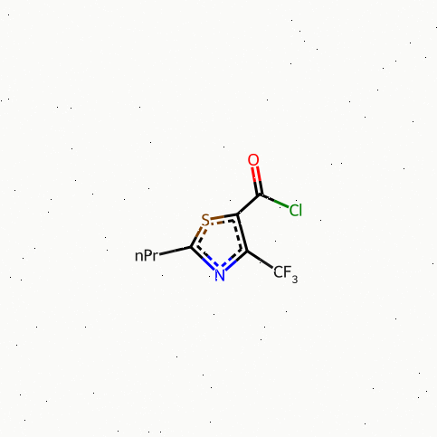 CCCc1nc(C(F)(F)F)c(C(=O)Cl)s1